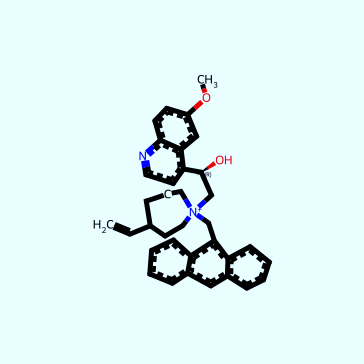 C=CC1CCC[N+](Cc2c3ccccc3cc3ccccc23)(C[C@H](O)c2ccnc3ccc(OC)cc23)CC1